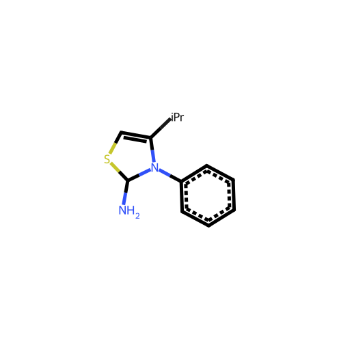 CC(C)C1=CSC(N)N1c1ccccc1